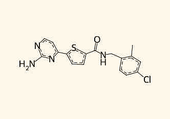 Cc1cc(Cl)ccc1CNC(=O)c1ccc(-c2ccnc(N)n2)s1